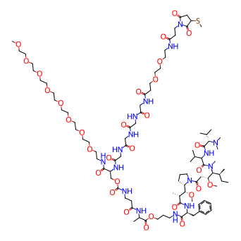 CC[C@H](C)[C@@H]([C@@H](CC(=O)N1CCC[C@H]1[C@H](OC)[C@@H](C)C(=O)N[C@@H](Cc1ccccc1)C(=O)NCCCOC(=O)C(C)NC(=O)CCNC(=O)OCC(NC(=O)CNC(=O)CNC(=O)CNC(=O)CNC(=O)CCOCCOCCNC(=O)CCN1C(=O)CC(SC)C1=O)C(=O)NCCOCCOCCOCCOCCOCCOCCOCCOC)OC)N(C)C(=O)C(NC(=O)[C@H](C(C)C)N(C)C)C(C)C